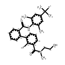 Cc1cc(C(F)(C(F)(F)F)C(F)(F)F)cc(C)c1NC(=O)c1ccccc1-c1cccc(C(=O)N(C)CCO)c1F